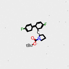 CC(C)(C)OC(=O)N1CCC[C@H]1CC1C=C(F)C=CC1=C1C=CC(F)=CC1